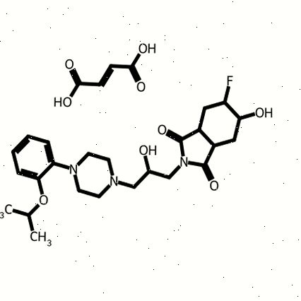 CC(C)Oc1ccccc1N1CCN(CC(O)CN2C(=O)C3CC(O)C(F)CC3C2=O)CC1.O=C(O)C=CC(=O)O